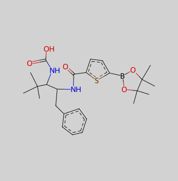 CC(C)(C)C(NC(=O)O)C(Cc1ccccc1)NC(=O)c1ccc(B2OC(C)(C)C(C)(C)O2)s1